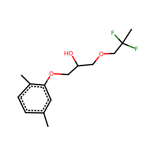 Cc1ccc(C)c(OCC(O)COCC(C)(F)F)c1